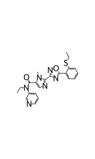 CCSc1ccccc1-c1nc(-c2ncc(C(=O)N(CC)c3cccnc3)n2C)no1